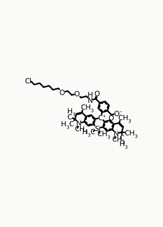 CC1=CC(C)(C)N(C)c2cc3c(cc21)[C+](c1cc(C(=O)NCCOCCOCCCCCCCl)ccc1C(=O)[O-])c1cc2c(cc1[Si]3(C)C)N(C)C(C)(C)C=C2C